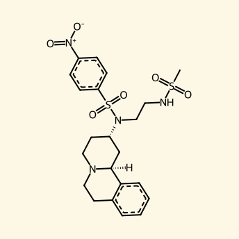 CS(=O)(=O)NCCN([C@H]1CCN2CCc3ccccc3[C@@H]2C1)S(=O)(=O)c1ccc([N+](=O)[O-])cc1